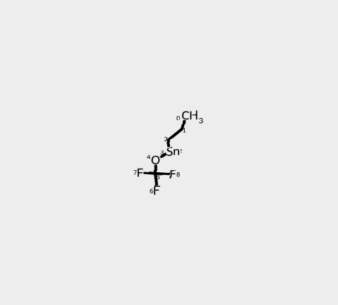 CC[CH2][Sn][O]C(F)(F)F